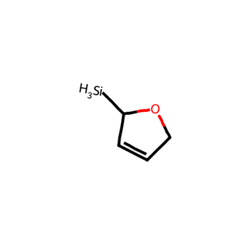 [SiH3]C1C=CCO1